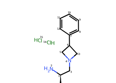 C[C@@H](N)CN1CC(c2ccccc2)C1.Cl.Cl